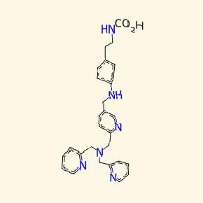 O=C(O)NCCc1ccc(NCc2ccc(CN(Cc3ccccn3)Cc3ccccn3)nc2)cc1